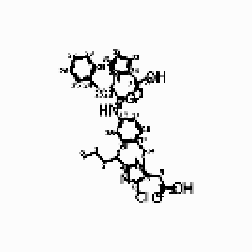 CCCCc1nc(Cl)c(CC(=O)O)n1Cc1ccc(NC(=O)[C@H](Cc2ccccc2)n2cccc2C(=O)O)cc1